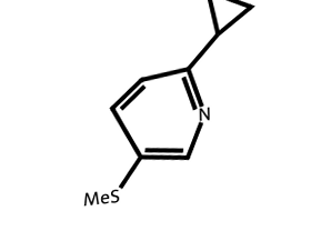 CSc1ccc(C2CC2)nc1